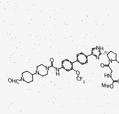 COC(=O)NCC(=O)N1C(C)CC[C@H]1c1nc(-c2ccc(-c3ccc(NC(=O)N4CCN(C5CCN(C=O)CC5)CC4)cc3OC(F)(F)F)cc2)c[nH]1